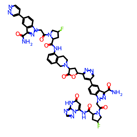 NC(=O)c1nn(CC(=O)N2CC(F)CC2C(=O)Nc2cccc3c2CCN(C2CC(c4cc(-c5ccc6c(c5)c(C(N)=O)nn6CC(=O)N5CC(F)CC5C(=O)Nc5cc(=O)[nH]c6ncnn56)cnn4)OC2=O)C3)c2ccc(-c3ccnnc3)cc12